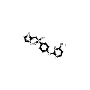 Nc1ccnc(Sc2ccc(S(=O)(=O)Cc3ncco3)cc2)n1